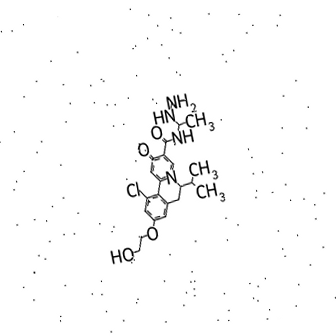 CC(NN)NC(=O)c1cn2c(cc1=O)-c1c(Cl)cc(OCCO)cc1CC2C(C)C